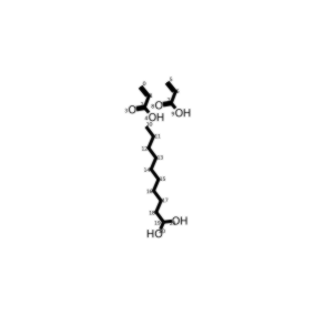 C=CC(=O)O.C=CC(=O)O.CCCCCCCCCC(O)O